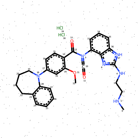 CNCCNc1nc2c([N+](=C=O)C(=O)c3ccc(N4CCCCc5ccccc54)cc3OC)cccc2[nH]1.Cl.Cl